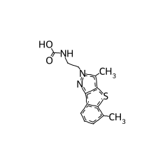 Cc1cccc2c1sc1c(C)n(CCNC(=O)O)nc12